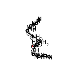 CCC1CN([C@@H](C)C(=O)C(C)(CC)N[C@H](CCCCNC(=O)CCCOc2cccc(-c3nc4ccc(-c5nc6cc(N7CCN(C)CC7)ccc6[nH]5)cc4[nH]3)c2)C(N)=O)C1(C)C(=O)CCCOc1cccc(-c2nc3ccc(-c4nc5cc(N6CCN(C)CC6)ccc5[nH]4)cc3[nH]2)c1